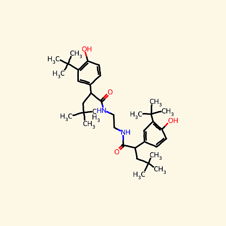 CC(C)(C)CC(C(=O)NCCNC(=O)C(CC(C)(C)C)c1ccc(O)c(C(C)(C)C)c1)c1ccc(O)c(C(C)(C)C)c1